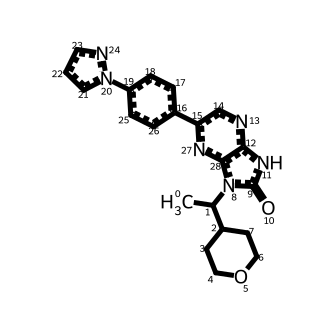 CC(C1CCOCC1)n1c(=O)[nH]c2ncc(-c3ccc(-n4cccn4)cc3)nc21